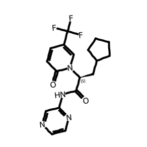 O=C(Nc1cnccn1)[C@H](CC1CCCC1)n1cc(C(F)(F)F)ccc1=O